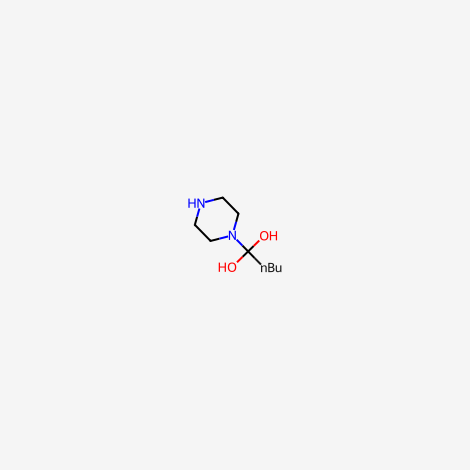 CCCCC(O)(O)N1CCNCC1